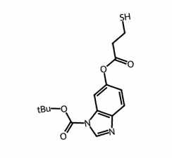 CC(C)(C)OC(=O)n1cnc2ccc(OC(=O)CCS)cc21